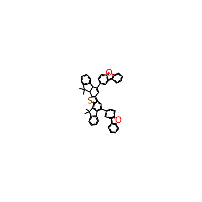 CC1(C)c2ccccc2-c2c(-c3ccc4oc5ccccc5c4c3)cc3c4c(sc3c21)C1C(C(c2ccc3oc5ccccc5c3c2)=C4)c2ccccc2C1(C)C